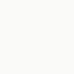 [c]1ccc2cc3cc4cc[c]cc4cc3cc2c1